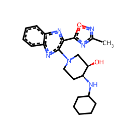 Cc1noc(-c2nc3ccccc3nc2N2CC[C@H](NC3CCCCC3)[C@H](O)C2)n1